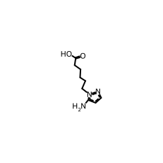 Nc1ccnn1CCCCCC(=O)O